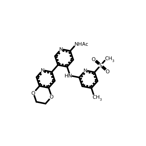 CC(=O)Nc1cc(Nc2cc(C)cc(S(C)(=O)=O)n2)c(-c2cc3c(cn2)OCCO3)cn1